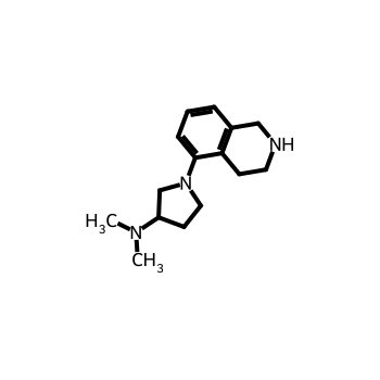 CN(C)C1CCN(c2cccc3c2CCNC3)C1